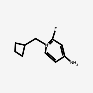 Nc1cc[n+](CC2CCC2)c(F)c1